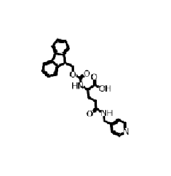 O=C(CCC(NC(=O)OCC1c2ccccc2-c2ccccc21)C(=O)O)NCc1ccncc1